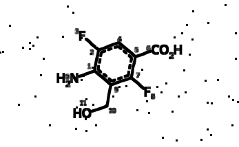 Nc1c(F)cc(C(=O)O)c(F)c1CO